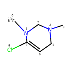 CC(C)N1CN(C)CC=C1Cl